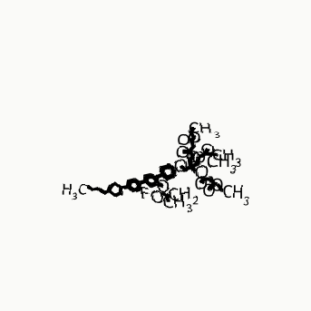 C=C(C)C(=O)Oc1cc(-c2ccc(C3CCC(CCCCC)CC3)cc2F)ccc1-c1ccc(OCC(COC(=O)CC(=O)OCC)(COC(=O)CC(=O)OCC)COC2OC2(C)C)cc1